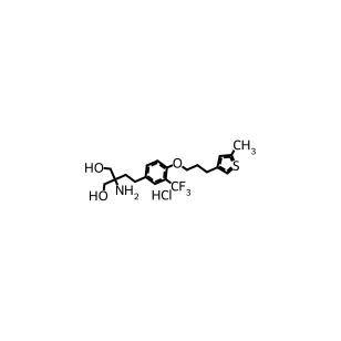 Cc1cc(CCCOc2ccc(CCC(N)(CO)CO)cc2C(F)(F)F)cs1.Cl